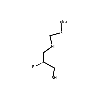 CCCCSCNC[C@@H](CC)CS